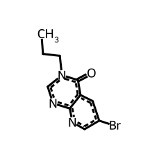 CCCn1cnc2ncc(Br)cc2c1=O